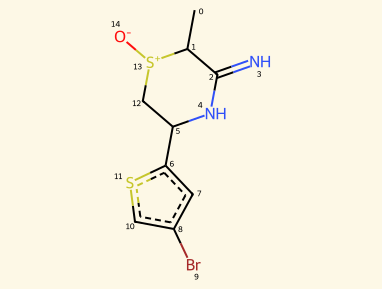 CC1C(=N)NC(c2cc(Br)cs2)C[S+]1[O-]